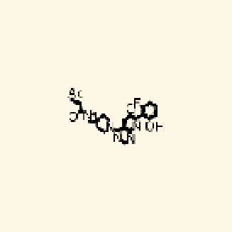 CC(=O)/C=C/C(=O)N1CC2(CCN(c3ncnc4nc(-c5c(O)cccc5F)c(Cl)cc34)CC2)C1